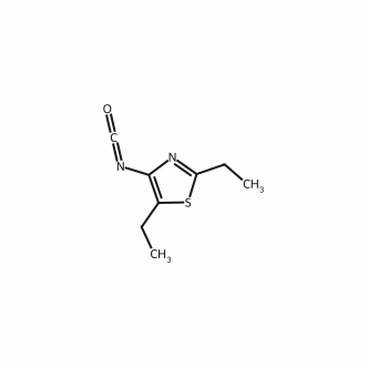 CCc1nc(N=C=O)c(CC)s1